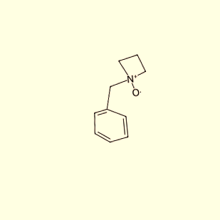 [O][N+]1(Cc2ccccc2)CCC1